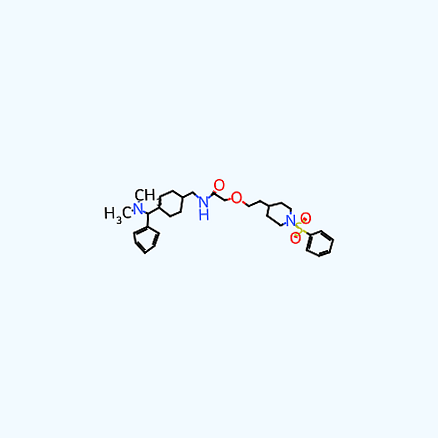 CN(C)C(c1ccccc1)C1CCC(CNC(=O)COCCC2CCN(S(=O)(=O)c3ccccc3)CC2)CC1